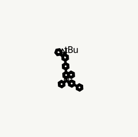 CC(C)(C)n1c2ccccc2c2cc(-c3ccc(-c4ccc(N(c5ccccc5)c5ccc(-c6ccccc6)cc5)c5ccccc45)cc3)ccc21